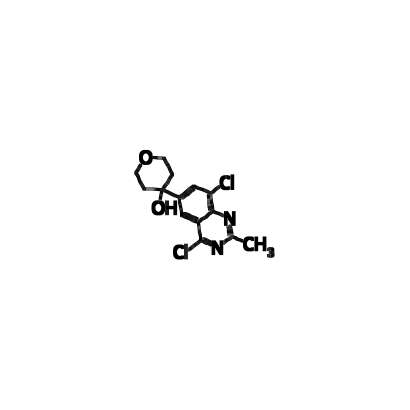 Cc1nc(Cl)c2cc(C3(O)CCOCC3)cc(Cl)c2n1